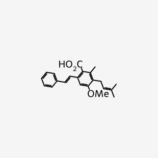 COc1cc(/C=C/c2ccccc2)c(C(=O)O)c(C)c1CC=C(C)C